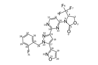 O=C1OCC(C(F)(F)F)N1c1ccnc(-c2cc(-c3ccon3)n(Cc3ccccc3F)n2)n1